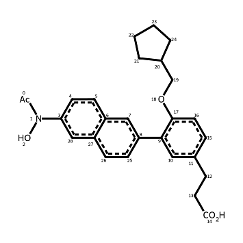 CC(=O)N(O)c1ccc2cc(-c3cc(CCC(=O)O)ccc3OCC3CCCC3)ccc2c1